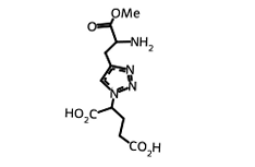 COC(=O)C(N)Cc1cn(C(CCC(=O)O)C(=O)O)nn1